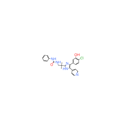 CC(C)(CNC(=O)Nc1ccccc1)c1nc(-c2ccc(Cl)c(O)c2)c(-c2ccncc2)[nH]1